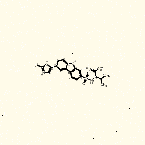 CC(C)[C@H](NS(=O)(=O)c1ccc2c3c(oc2c1)=CCC(c1cnc(Cl)s1)C=3)C(=O)O